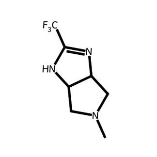 CN1CC2N=C(C(F)(F)F)NC2C1